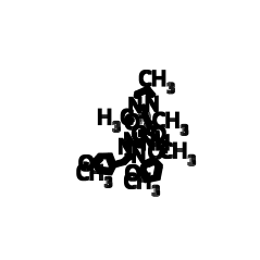 COc1ccc(Cc2nnc(NS(=O)(=O)[C@@H](C)[C@H](OC)c3ncc(C)cn3)n2-c2c(OC)cccc2OC)cc1